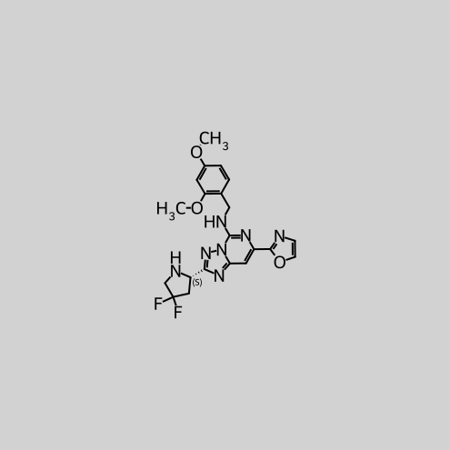 COc1ccc(CNc2nc(-c3ncco3)cc3nc([C@@H]4CC(F)(F)CN4)nn23)c(OC)c1